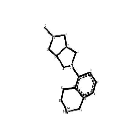 CN1CC2CN(c3cccc4c3CCNC4)CC2C1